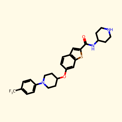 O=C(NC1CCNCC1)c1cc2ccc(OC3CCN(c4ccc(C(F)(F)F)cc4)CC3)cc2s1